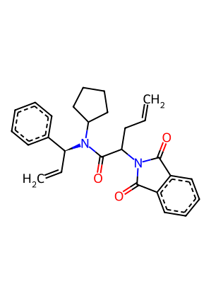 C=CCC(C(=O)N(C1CCCC1)[C@@H](C=C)c1ccccc1)N1C(=O)c2ccccc2C1=O